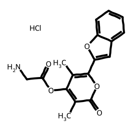 Cc1c(-c2cc3ccccc3o2)oc(=O)c(C)c1OC(=O)CN.Cl